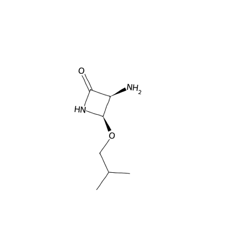 CC(C)CO[C@H]1NC(=O)[C@H]1N